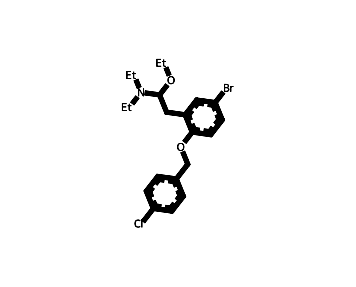 CCOC(Cc1cc(Br)ccc1OCc1ccc(Cl)cc1)N(CC)CC